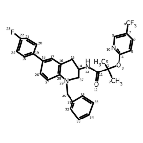 CC(C)(Oc1ccc(C(F)(F)F)cn1)C(=O)NC1Cc2cc(-c3ccc(F)cc3)ccc2N(Cc2ccccc2)C1